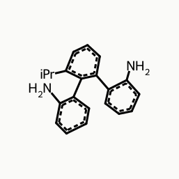 CC(C)c1cccc(-c2ccccc2N)c1-c1ccccc1N